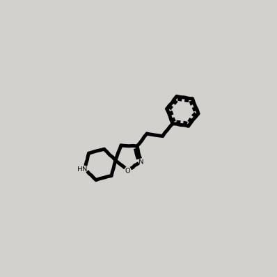 c1ccc(CCC2=NOC3(CCNCC3)C2)cc1